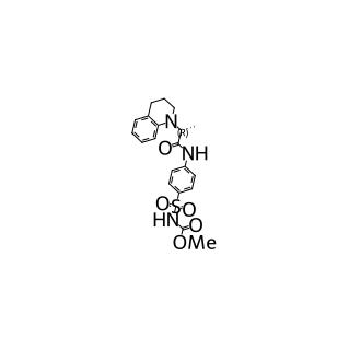 COC(=O)NS(=O)(=O)c1ccc(NC(=O)[C@@H](C)N2CCCc3ccccc32)cc1